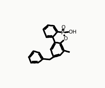 Cc1cc(Cc2ccccc2)cc2c1OP(=O)(O)c1ccccc1-2